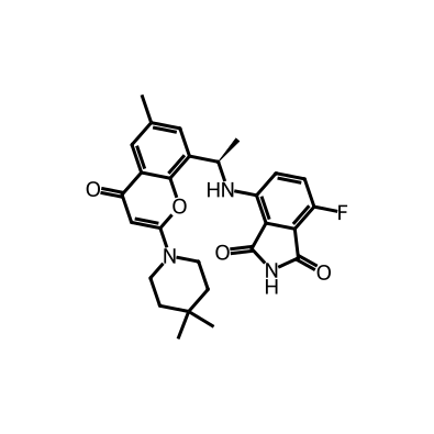 Cc1cc([C@@H](C)Nc2ccc(F)c3c2C(=O)NC3=O)c2oc(N3CCC(C)(C)CC3)cc(=O)c2c1